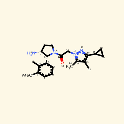 COc1cccc([C@@H]2[C@H](N)CCN2C(=O)Cn2nc(C3CC3)c(C)c2C(F)(F)F)c1C